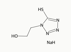 OCCn1nnnc1S.[NaH]